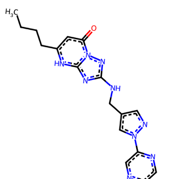 CCCCc1cc(=O)n2nc(NCc3cnn(-c4cnccn4)c3)nc2[nH]1